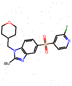 CC(C)(C)c1nc2cc(S(=O)(=O)c3ccnc(F)c3)ccc2n1CC1CCOCC1